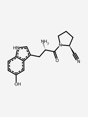 N#C[C@@H]1CCCN1C(=O)[C@@H](N)Cc1c[nH]c2ccc(O)cc12